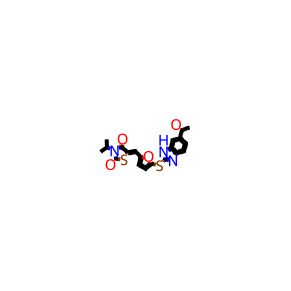 CC(=O)c1ccc2nc(Sc3ccc(/C=C4\SC(=O)N(C(C)C)C4=O)o3)[nH]c2c1